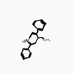 CCC1CC(c2ccccc2)NC=C1c1ccccc1